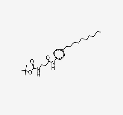 CCCCCCCCCCc1ccc(NC(=O)CCNC(=O)OC(C)(C)C)cc1